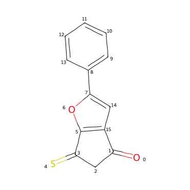 O=C1CC(=S)c2oc(-c3ccccc3)cc21